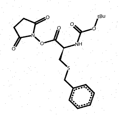 CC(C)(C)OC(=O)N[C@@H](CSCc1ccccc1)C(=O)ON1C(=O)CCC1=O